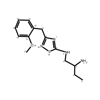 CCC(N)CNc1nc(Cc2ccccc2OC)ns1